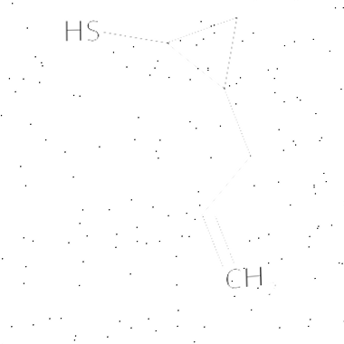 C=CCC1CC1S